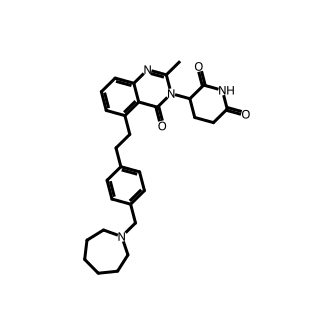 Cc1nc2cccc(CCc3ccc(CN4CCCCCC4)cc3)c2c(=O)n1C1CCC(=O)NC1=O